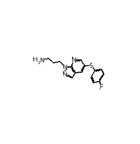 NCCCn1ncc2cc(Sc3ccc(F)cc3)cnc21